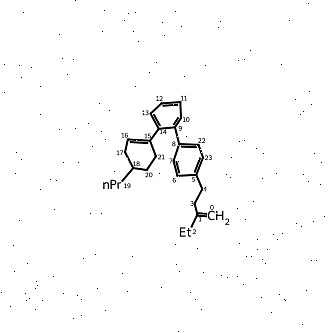 C=C(CC)CCc1ccc(-c2ccccc2C2=CCC(CCC)CC2)cc1